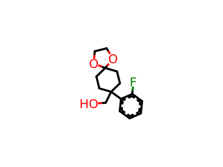 OCC1(c2ccccc2F)CCC2(CC1)OCCO2